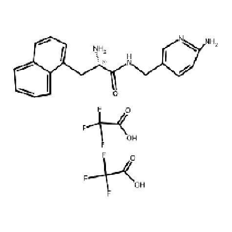 Nc1ccc(CNC(=O)[C@@H](N)Cc2cccc3ccccc23)cn1.O=C(O)C(F)(F)F.O=C(O)C(F)(F)F